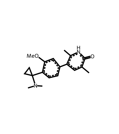 COc1cc(-c2cc(C)c(=O)[nH]c2C)ccc1C1(N(C)C)CC1